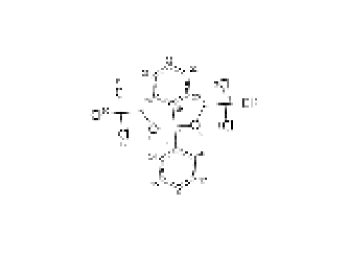 ClC(Cl)(Cl)COC(OCC(Cl)(Cl)Cl)(c1ccccc1)c1ccccc1